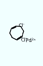 C1=C\CC/C=C\CC/1.[Cl-].[Cl-].[Pd+2]